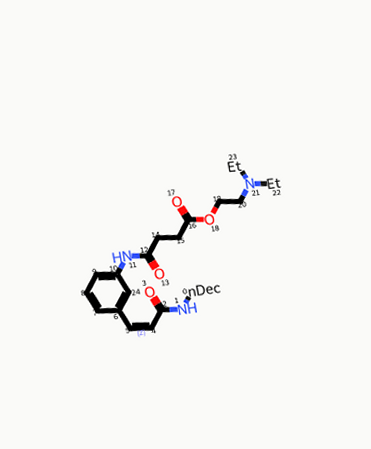 CCCCCCCCCCNC(=O)/C=C\c1cccc(NC(=O)CCC(=O)OCCN(CC)CC)c1